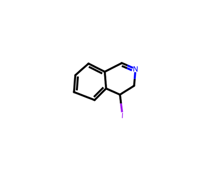 IC1CN=Cc2ccccc21